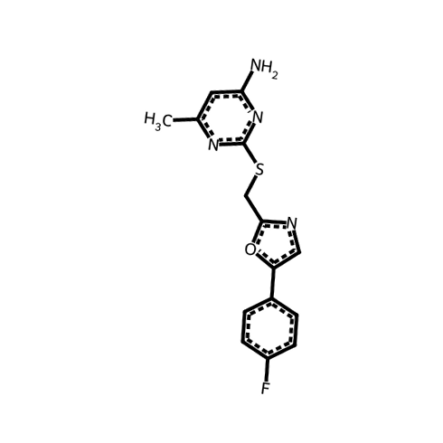 Cc1cc(N)nc(SCc2ncc(-c3ccc(F)cc3)o2)n1